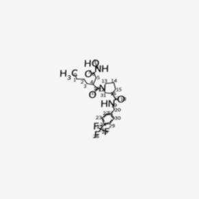 CCCCC(CC(=O)NO)C(=O)N1CCCC(C(=O)NCc2ccc(C(F)(F)F)cc2)C1